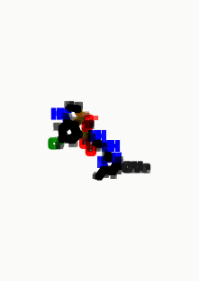 COc1cc(C)nc(NC(=O)NS(=O)(=O)c2cc(Cl)cc3c2[S+]([O-])CCN3)n1